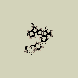 CC(C)CC1CN(c2ccc(C3(C(=O)N4CCC5(C4)OC(=O)c4cnccc45)CC3)cn2)CCN1C(=O)O